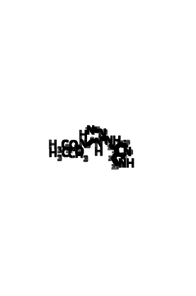 CC(C)(C)OC(=O)NCCN/C(=N\C#N)NCc1ccnc2[nH]ccc12